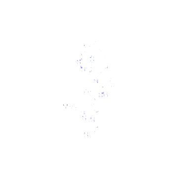 COc1nn(CC#N)cc1C(=O)Nc1cccc(-c2nnc3n2[C@@H](C)CC3)n1